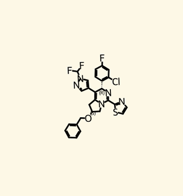 Fc1ccc([C@@H]2N=C(c3nccs3)N3C[C@@H](OCc4ccccc4)CC3=C2c2cnn(C(F)F)c2)c(Cl)c1